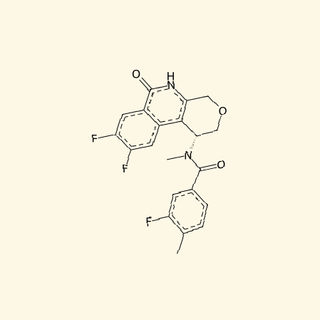 Cc1ccc(C(=O)N(C)[C@H]2COCc3[nH]c(=O)c4cc(F)c(F)cc4c32)cc1F